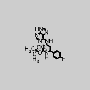 CC(C)(C)OC(=O)NC(CCNc1ncnc2[nH]cnc12)c1ccc(F)cc1